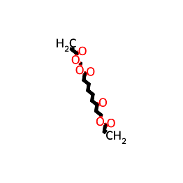 C=CC(=O)OCCC(=O)CCCCCC(=O)OCOC(=O)C=C